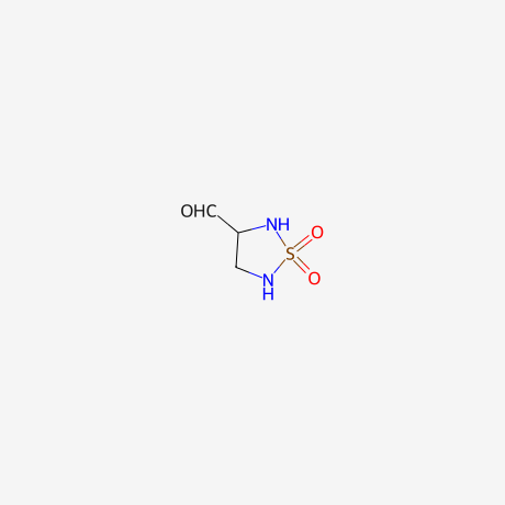 O=CC1CNS(=O)(=O)N1